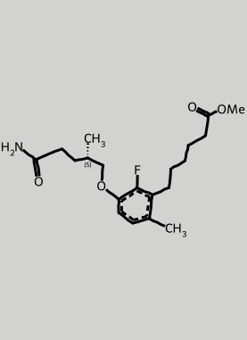 COC(=O)CCCCCc1c(C)ccc(OC[C@@H](C)CCC(N)=O)c1F